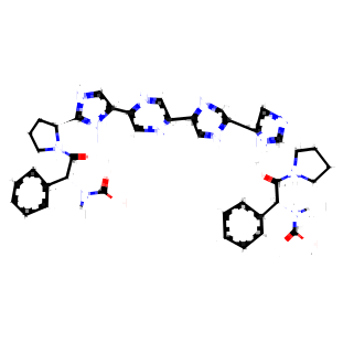 CN(C(=O)O)[C@@H](C(=O)N1CCC[C@H]1c1ncc(-c2cnc(-c3cnc(-c4cnc([C@@H]5CCCN5C(=O)[C@@H](c5ccccc5)N(C)C(=O)O)[nH]4)cn3)cn2)[nH]1)c1ccccc1